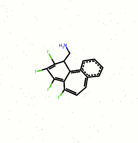 NCC1C(F)=C(F)C(F)=C2C(F)=CC=c3ccccc3=C21